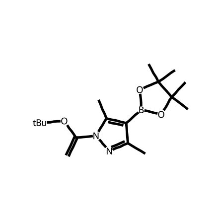 C=C(OC(C)(C)C)n1nc(C)c(B2OC(C)(C)C(C)(C)O2)c1C